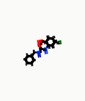 O=C(NCc1ccccc1)Nc1cc(Cl)ccc1O